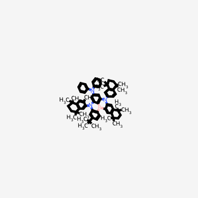 Cc1cc2c(cc1N1c3cc(C(C)(C)C)ccc3B3c4cc5c(cc4N(c4ccc6c(c4)C(C)(C)CCC6(C)C)c4cc(N(c6ccccc6)c6ccccc6)cc1c43)C(C)(C)CCC5(C)C)C(C)(C)CCC2(C)C